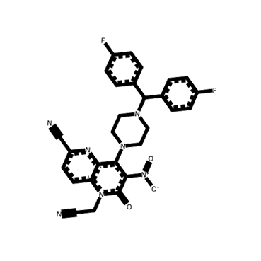 N#CCn1c(=O)c([N+](=O)[O-])c(N2CCN(C(c3ccc(F)cc3)c3ccc(F)cc3)CC2)c2nc(C#N)ccc21